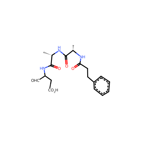 C[C@H](NC(=O)CCc1ccccc1)C(=O)N[C@@H](C)C(=O)NC(C=O)CC(=O)O